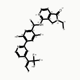 CC=C(c1ccnc(-c2cc(F)c(C(C)Nc3nccc4c3CN(CC)C4=O)cc2F)c1)C(F)(F)F